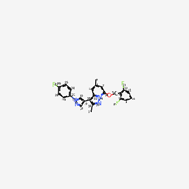 Cc1cc(OCc2c(F)cccc2F)n2nc(C)c(-c3cnn(-c4ccc(F)cc4)c3)c2c1